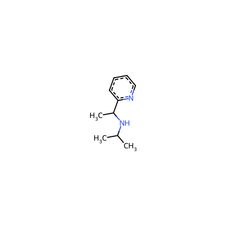 CC(C)NC(C)c1ccccn1